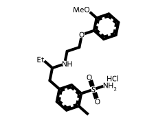 CCC(Cc1ccc(C)c(S(N)(=O)=O)c1)NCCOc1ccccc1OC.Cl